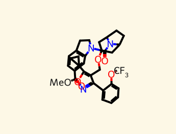 COC(=O)c1ccc2c(c1)N(C(=O)N1C3CCC1CC(OCc1c(-c4ccccc4OC(F)(F)F)noc1C1CC1)C3)CC2